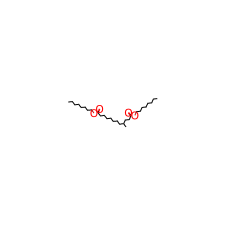 CCCCCCCCOC(=O)CCCCCCCC(C)CCC(=O)OCCCCCCCC